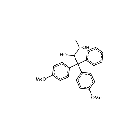 COc1ccc(C(c2ccccc2)(c2ccc(OC)cc2)C(O)C(C)O)cc1